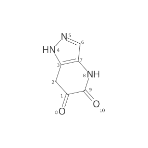 O=C1Cc2[nH]ncc2NC1=O